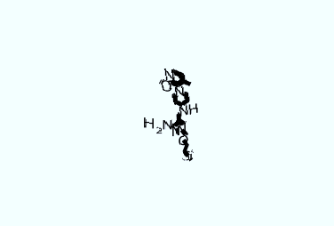 COc1nccc(C)c1N1CCC(NCc2cn(COCC[Si](C)(C)C)nc2N)CC1